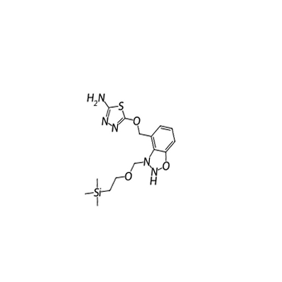 C[Si](C)(C)CCOCN1NOc2cccc(COc3nnc(N)s3)c21